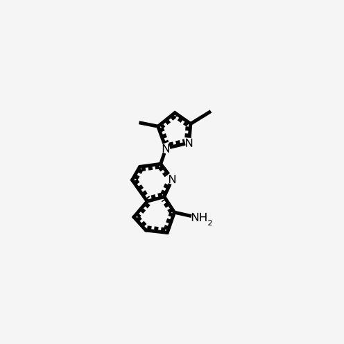 Cc1cc(C)n(-c2ccc3cccc(N)c3n2)n1